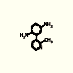 Cc1ncccc1-c1cc(N)ccc1N